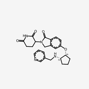 O=C1CCC(N2Cc3cc(O[C@@H]4CCC[C@@H]4NCc4cccnc4)ccc3C2=O)C(=O)N1